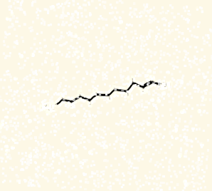 CCCCCCCCCCC=CS